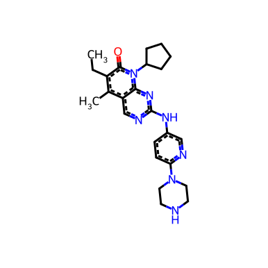 CCc1c(C)c2cnc(Nc3ccc(N4CCNCC4)nc3)nc2n(C2CCCC2)c1=O